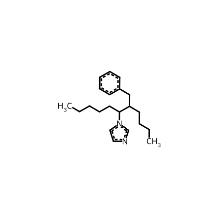 CCCCCC(C(CCCC)Cc1ccccc1)n1ccnc1